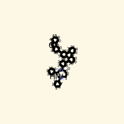 C[C@@H]1CC/C=C(\c2ccccc2)NC(c2ccccc2)/C=C\1c1cccc(C2=CC=CC3=c4ccccc4=C4C=C(c5ccc6oc7ccccc7c6c5)C=CC4C23)c1